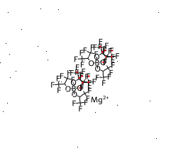 FC(F)(F)C(O[B-](OC(C(F)(F)F)C(F)(F)F)(OC(C(F)(F)F)C(F)(F)F)OC(C(F)(F)F)C(F)(F)F)C(F)(F)F.FC(F)(F)C(O[B-](OC(C(F)(F)F)C(F)(F)F)(OC(C(F)(F)F)C(F)(F)F)OC(C(F)(F)F)C(F)(F)F)C(F)(F)F.[Mg+2]